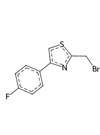 Fc1ccc(-c2csc(CBr)n2)cc1